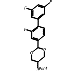 CCCCCC1COC(c2ccc(-c3cc(F)cc(F)c3)c(F)c2)OC1